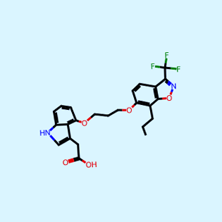 CCCc1c(OCCCOc2cccc3[nH]cc(CC(=O)O)c23)ccc2c(C(F)(F)F)noc12